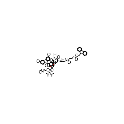 [C-]#[N+]CCOP(OC1C[C@H](n2cc(C#CCNC(=O)CCCC(=O)OCC3c4ccccc4-c4ccccc43)c(=O)[nH]c2=O)O[C@@H]1COC(c1ccccc1)(c1ccc(OC)cc1)c1ccc(OC)cc1)N(C(C)C)C(C)C